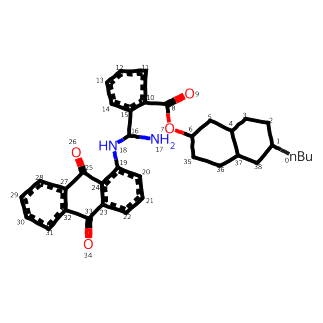 CCCCC1CCC2CC(OC(=O)c3ccccc3C(N)Nc3cccc4c3C(=O)c3ccccc3C4=O)CCC2C1